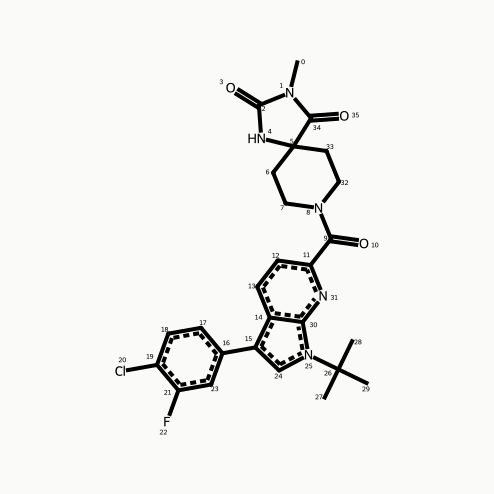 CN1C(=O)NC2(CCN(C(=O)c3ccc4c(-c5ccc(Cl)c(F)c5)cn(C(C)(C)C)c4n3)CC2)C1=O